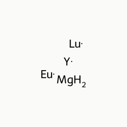 [Eu].[Lu].[MgH2].[Y]